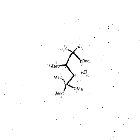 CCCCCCCCCCC(C[Si](OC)(OC)OC)C(C)(N)CCCCCCCCCC.Cl